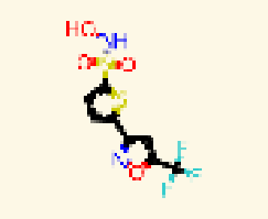 O=S(=O)(NO)c1ccc(-c2cc(C(F)(F)F)on2)s1